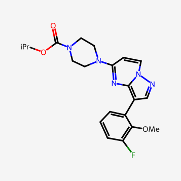 COc1c(F)cccc1-c1cnn2ccc(N3CCN(C(=O)OC(C)C)CC3)nc12